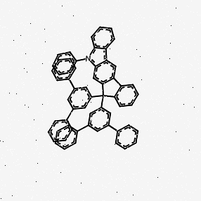 c1ccc(-c2cc(-c3ccccc3)cc(C3(c4cc(-c5ccccc5)cc(-c5ccccc5)c4)c4ccccc4-c4cc5c6ccccc6n(-c6ccccc6)c5cc43)c2)cc1